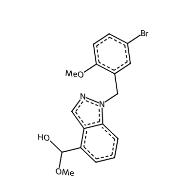 COc1ccc(Br)cc1Cn1ncc2c(C(O)OC)cccc21